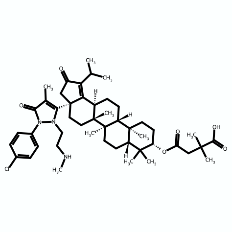 CNCCn1c([C@@]23CC[C@]4(C)[C@H](CC[C@@H]5[C@@]6(C)CC[C@H](OC(=O)CC(C)(C)C(=O)O)C(C)(C)[C@@H]6CC[C@]54C)C2=C(C(C)C)C(=O)C3)c(C)c(=O)n1-c1ccc(Cl)cc1